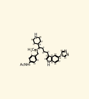 CC(=O)Nc1ccc(CN(C)C(CCCc2c[nH]c3ccc(-n4cnnc4)cc23)C2CCNCC2)cc1